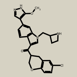 COc1[nH]ncc1-c1ccc2c(C(=O)C3COc4ccc(Cl)cc4C3)cn(CC3CCN3)c2c1